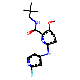 COc1ccc(Nc2ccnc(F)c2)nc1C(=O)NCC(C)(C)C